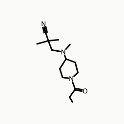 CCC(=O)N1CCC(N(C)CC(C)(C)C#N)CC1